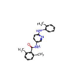 Cc1ccccc1Nc1ccc(NC(=O)c2c(C)cccc2C)cn1